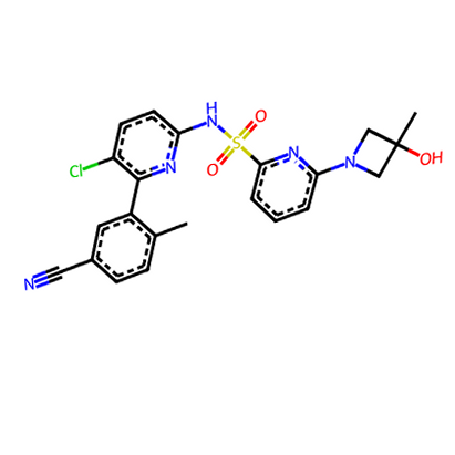 Cc1ccc(C#N)cc1-c1nc(NS(=O)(=O)c2cccc(N3CC(C)(O)C3)n2)ccc1Cl